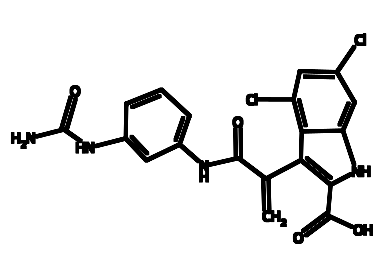 C=C(C(=O)Nc1cccc(NC(N)=O)c1)c1c(C(=O)O)[nH]c2cc(Cl)cc(Cl)c12